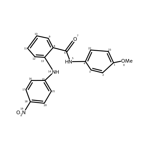 COc1ccc(NC(=O)c2ccccc2Nc2ccc([N+](=O)[O-])cc2)cc1